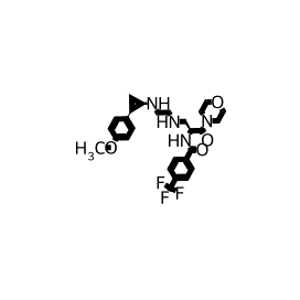 COc1ccc([C@@H]2C[C@H]2NCCNC[C@H](NC(=O)c2ccc(C(F)(F)F)cc2)C(=O)N2CCOCC2)cc1